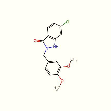 COc1ccc(Cn2[nH]c3cc(Cl)ccc3c2=O)cc1OC